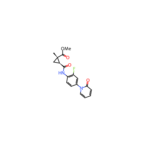 COC(=O)[C@@]1(C)C[C@@H]1C(=O)Nc1ccc(-n2ccccc2=O)cc1F